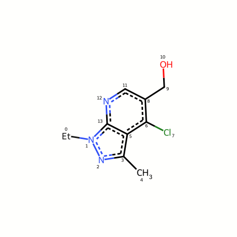 CCn1nc(C)c2c(Cl)c(CO)cnc21